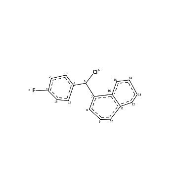 Fc1ccc(C(Cl)c2cccc3ccccc23)cc1